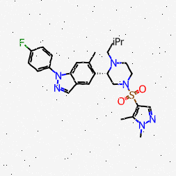 Cc1cc2c(cnn2-c2ccc(F)cc2)cc1[C@H]1CN(S(=O)(=O)c2cnn(C)c2C)CCN1CC(C)C